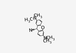 CN(C)c1ccc2c(c1)Oc1ccc(N(C)C)cc1C2C#N